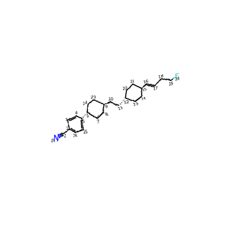 N#Cc1ccc([C@H]2CC[C@H](CC[C@H]3CC[C@H](C=CCCF)CC3)CC2)cc1